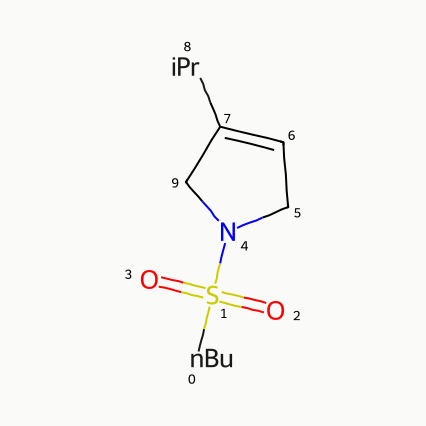 CCCCS(=O)(=O)N1CC=C(C(C)C)C1